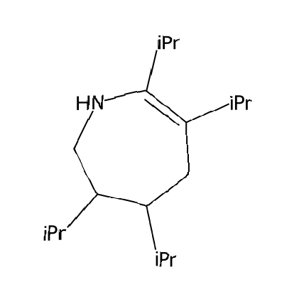 CC(C)C1=C(C(C)C)NCC(C(C)C)C(C(C)C)C1